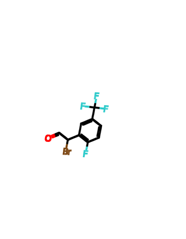 O=CC(Br)c1cc(C(F)(F)F)ccc1F